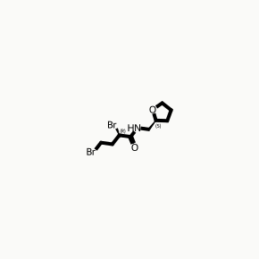 O=C(NC[C@@H]1CCCO1)[C@H](Br)CCBr